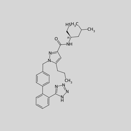 CCCc1cc(C(=O)N[C@@H](CS)CC(C)C)nn1Cc1ccc(-c2ccccc2-c2nnn[nH]2)cc1